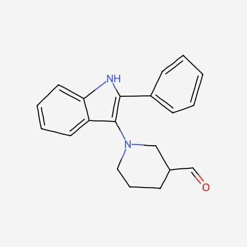 O=CC1CCCN(c2c(-c3ccccc3)[nH]c3ccccc23)C1